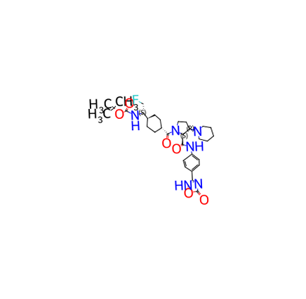 CC(C)(C)OC(=O)N[C@H](CF)[C@H]1CC[C@H](C(=O)N2CC[C@@H](N3CCCCC3)[C@H]2C(=O)Nc2ccc(-c3nc(=O)o[nH]3)cc2)CC1